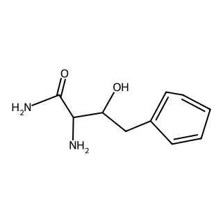 NC(=O)C(N)C(O)Cc1ccccc1